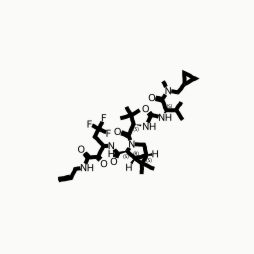 C=CCNC(=O)C(=O)C(CC(F)(F)F)NC(=O)[C@@H]1[C@@H]2[C@H](CN1C(=O)[C@@H](NC(=O)N[C@H](C(=O)N(C)CC1CC1)C(C)C)C(C)(C)C)C2(C)C